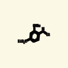 CCNc1ccc(C(=O)OCC)cc1OC